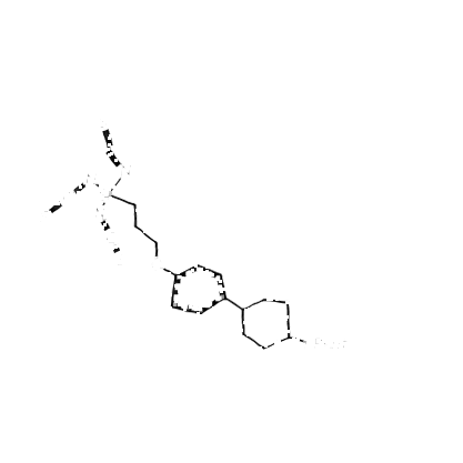 CCCCCC1CCC(c2ccc(OCCC[Si](N=C=S)(N=C=S)N=C=S)cc2)CC1